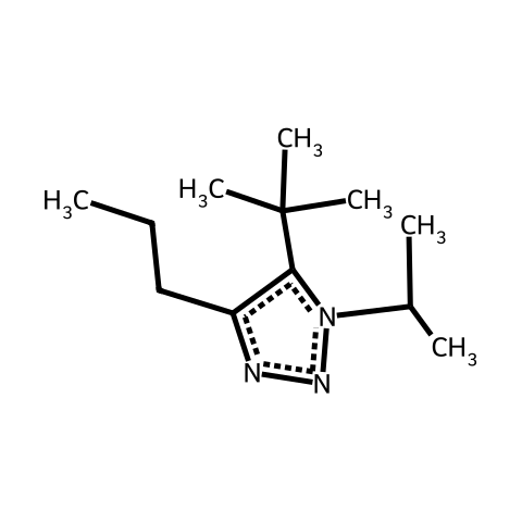 CCCc1nnn(C(C)C)c1C(C)(C)C